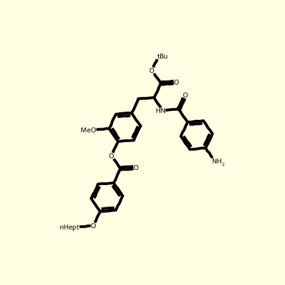 CCCCCCCOc1ccc(C(=O)Oc2ccc(CC(NC(=O)c3ccc(N)cc3)C(=O)OC(C)(C)C)cc2OC)cc1